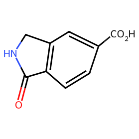 O=C(O)c1ccc2c(c1)CNC2=O